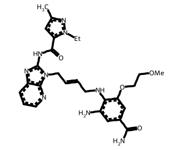 CCn1nc(C)cc1C(=O)Nc1nc2cccnc2n1CC=CCNc1c(N)cc(C(N)=O)cc1OCCOC